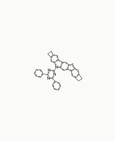 c1ccc(-c2nc(-c3ccccc3)nc(-n3c4cc5c(cc4c4cc6sc7cc8c(cc7c6cc43)CC8)CC5)n2)cc1